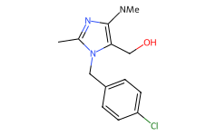 CNc1nc(C)n(Cc2ccc(Cl)cc2)c1CO